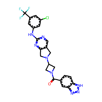 O=C(c1ccc2[nH]nnc2c1)N1CC(N2Cc3cnc(Nc4cc(Cl)cc(C(F)(F)F)c4)nc3C2)C1